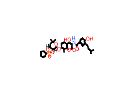 CC(C)=CCc1cc(C(=O)Nc2c(O)c3ccc(O[C@@H]4OC(C)(C)C[C@H]5OP(=O)(c6ccccc6)O[C@@H]45)c(C)c3oc2=O)ccc1O